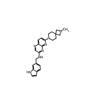 CN1CC2(CCN(c3ccc4ncc(NCc5ccc6cc[nH]c6c5)nc4n3)CC2)C1